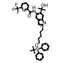 CC(C)(O)c1cc2nn(CCCCCO[Si](c3ccccc3)(c3ccccc3)C(C)(C)C)cc2cc1NC(=O)c1cccc(C(F)(F)F)n1